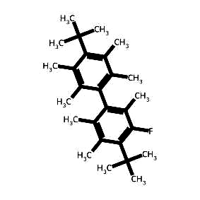 Cc1c(C)c(C(C)(C)C)c(C)c(C)c1-c1c(C)c(C)c(C(C)(C)C)c(F)c1C